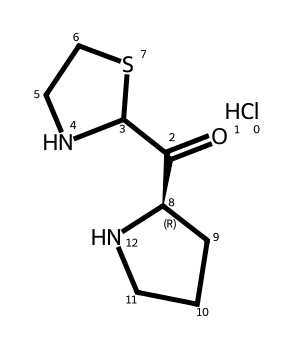 Cl.O=C(C1NCCS1)[C@H]1CCCN1